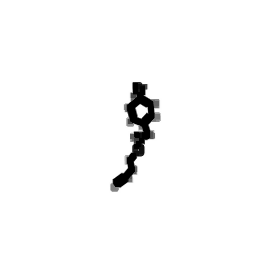 C#CCCON=[C]c1ccc(Br)cc1